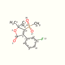 CC1(C)OC(=O)C(c2cccc(F)c2)=C1S(C)(=O)=O